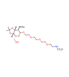 CC(=O)N[C@H]1C(OCCOCCOCCOCCNC(=O)O)O[C@H](CO)[C@@H]2OC(C)(C)O[C@@H]21